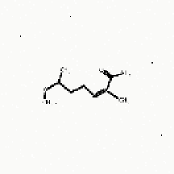 COC(C)CCC=C(C)C(N)=O